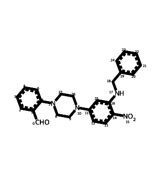 O=Cc1ccccc1N1CCN(c2ccc([N+](=O)[O-])c(NCc3ccccc3)c2)CC1